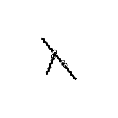 CCCCCCCCCOC(CCC=COCOCCCCCCCC)OCCCCCCCCC